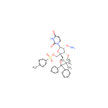 CO[C@H]1[C@@H](ON)[C@H](n2ccc(=O)[nH]c2=O)O[C@@]1(CO[Si](c1ccccc1)(c1ccccc1)C(C)(C)C)COS(=O)(=O)c1ccc(C)cc1